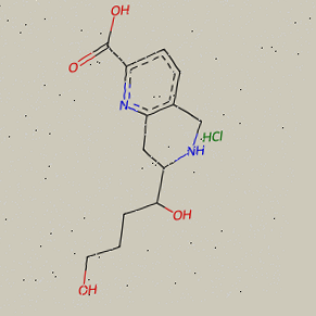 Cl.O=C(O)c1ccc2c(n1)CC(C(O)CCCO)NC2